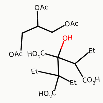 CC(=O)OCC(COC(C)=O)OC(C)=O.CCC(C(=O)O)C(O)(C(=O)O)C(CC)(CC)C(=O)O